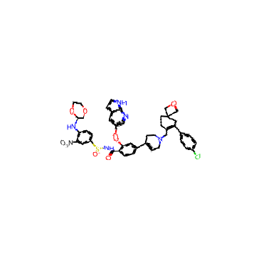 O=C(N[S+]([O-])c1ccc(N[C@@H]2COCCO2)c([N+](=O)[O-])c1)c1ccc(C2=CCN(CC3=C(c4ccc(Cl)cc4)CC4(CC3)COC4)CC2)cc1Oc1cnc2[nH]ccc2c1